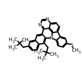 CSc1ccc2c(c1)c1ccc3ncnc4c5cc6cc(CC(C)(C)C)ccc6c(CC(C)(C)C)c5n2c1c34